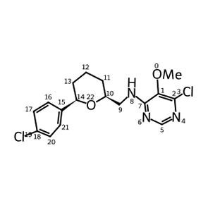 COc1c(Cl)ncnc1NC[C@@H]1CCC[C@H](c2ccc(Cl)cc2)O1